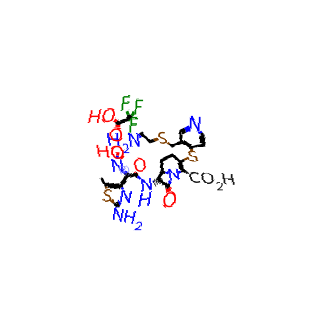 Cc1sc(N)nc1/C(=N/O)C(=O)N[C@H]1C(=O)N2C(C(=O)O)=C(Sc3ccncc3CSCCN)CCC12.O=C(O)C(F)(F)F